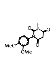 COc1ccc(N2C(=O)CC(=O)NC2=O)cc1OC